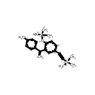 C=C(c1ccc(C)cc1)c1cc(C#C[Si](C)(C)C)ccc1O[Si](C)(C)CCCC